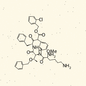 COc1ccc([C](C(=O)OCc2ccccc2Cl)C(=O)[C@H](Cc2ccccc2)NC(=O)[C@@H](NC(=O)[C@@H](N)CCCCN)[C@@H](C)OCc2ccccc2)cc1